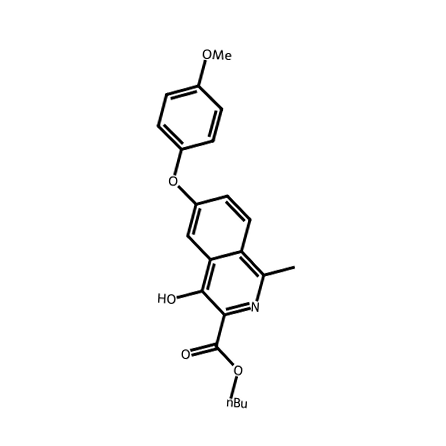 CCCCOC(=O)c1nc(C)c2ccc(Oc3ccc(OC)cc3)cc2c1O